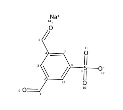 O=Cc1cc(C=O)cc(S(=O)(=O)[O-])c1.[Na+]